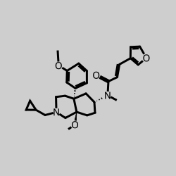 COc1cccc([C@@]23CCN(CC4CC4)C[C@@]2(OC)CC[C@@H](N(C)C(=O)/C=C/c2ccoc2)C3)c1